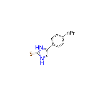 CCCc1ccc(-c2c[nH]c(=S)[nH]2)cc1